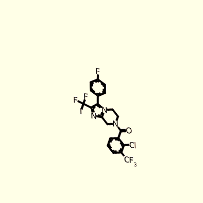 O=C(c1cccc(C(F)(F)F)c1Cl)N1CCn2c(nc(C(F)(F)I)c2-c2ccc(F)cc2)C1